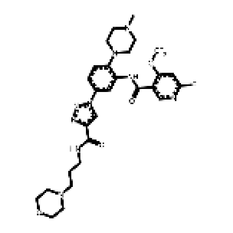 CN1CCN(c2ccc(-n3cc(C(=O)NCCCN4CCOCC4)nn3)cc2NC(=O)c2cnc(F)cc2OC(F)(F)F)CC1